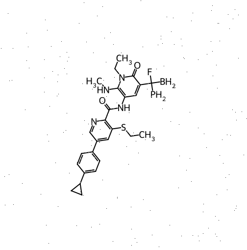 BC(F)(P)c1cc(NC(=O)c2ncc(-c3ccc(C4CC4)cc3)cc2SCC)c(NC)n(CC)c1=O